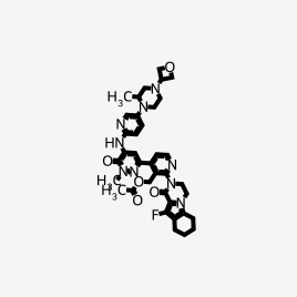 CC(=O)OCc1c(-c2cc(Nc3ccc(N4CCN(C5COC5)CC4C)cn3)c(=O)n(C)n2)ccnc1N1CCn2c3c(c(F)c2C1=O)CCCC3